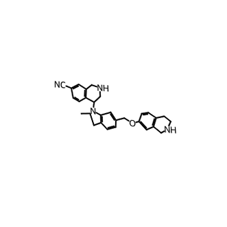 CC1Cc2ccc(COc3ccc4c(c3)CNCC4)cc2N1C1CNCc2cc(C#N)ccc21